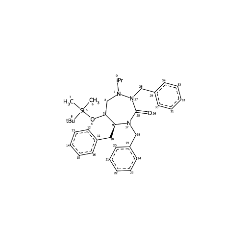 CC(C)N1CC(O[Si](C)(C)C(C)(C)C)[C@H](Cc2ccccc2)N(Cc2ccccc2)C(=O)N1Cc1ccccc1